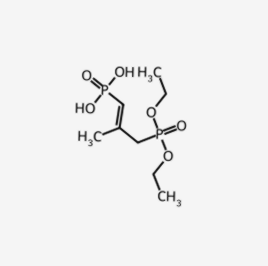 CCOP(=O)(CC(C)=CP(=O)(O)O)OCC